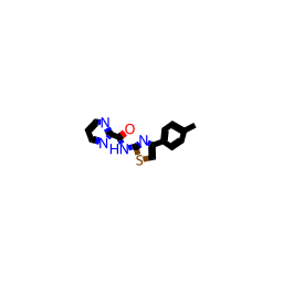 Cc1ccc(-c2csc(NC(=O)c3ncccn3)n2)cc1